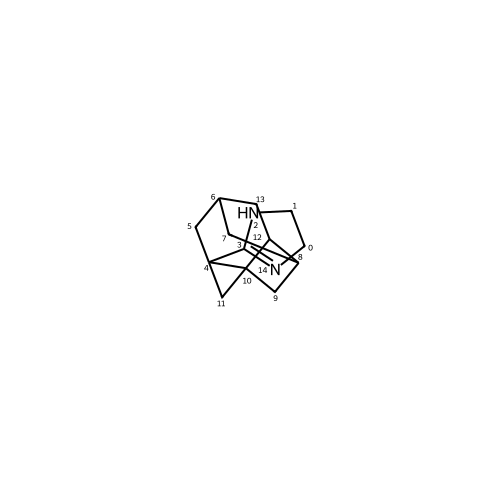 C1CNC(C23CC4CC5CC2(C3)C5C4)=N1